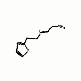 NCCSCCc1cccs1